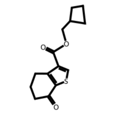 O=C(OCC1CCC1)c1csc2c1CCCC2=O